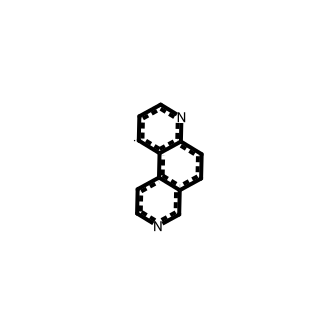 [c]1ccnc2ccc3cnccc3c12